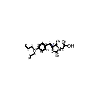 CCCN(CCC)c1ccc(/C=C2\SC(=S)N(CC(=O)O)C2=O)cc1